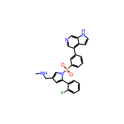 CNCc1cc(-c2ccccc2F)n(S(=O)(=O)c2cccc(-c3cncc4[nH]ccc34)c2)c1